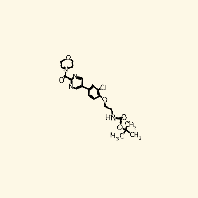 CC(C)(C)OC(=O)NCCOc1ccc(-c2cnc(C(=O)N3CCOCC3)nc2)cc1Cl